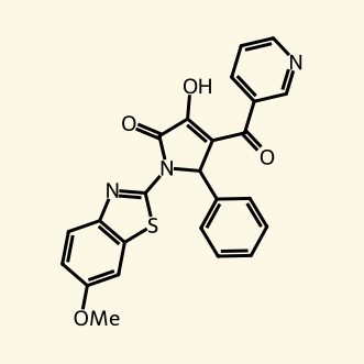 COc1ccc2nc(N3C(=O)C(O)=C(C(=O)c4cccnc4)C3c3ccccc3)sc2c1